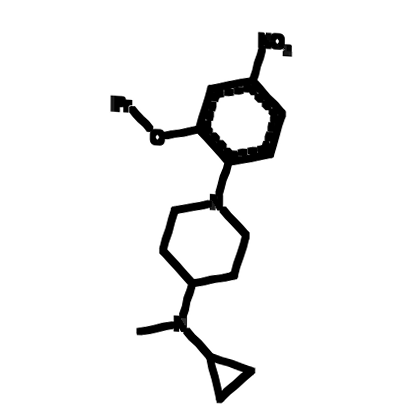 CC(C)Oc1cc([N+](=O)[O-])ccc1N1CCC(N(C)C2CC2)CC1